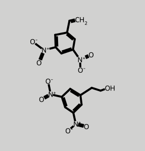 C=Cc1cc([N+](=O)[O-])cc([N+](=O)[O-])c1.O=[N+]([O-])c1cc(CCO)cc([N+](=O)[O-])c1